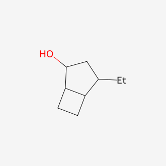 CCC1CC(O)C2CCC12